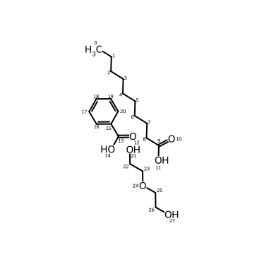 CCCCCCCCCC(=O)O.O=C(O)c1ccccc1.OCCOCCO